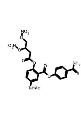 CC(=O)Nc1ccc(OC(=O)CC(CO[N+](=O)[O-])O[N+](=O)[O-])c(C(=O)Oc2ccc(C(N)=S)cc2)c1